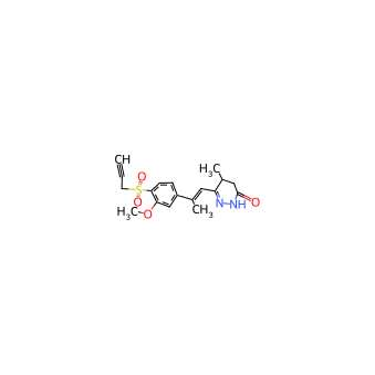 C#CCS(=O)(=O)c1ccc(C(C)=CC2=NNC(=O)CC2C)cc1OC